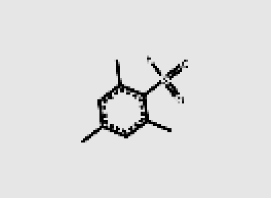 Cc1cc(C)c(S(=O)(=O)F)c(C)c1